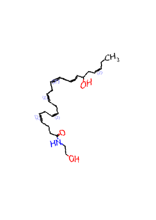 CC/C=C\CC(O)C=C/C=C\C/C=C\C/C=C\C/C=C\CCC(=O)NCCO